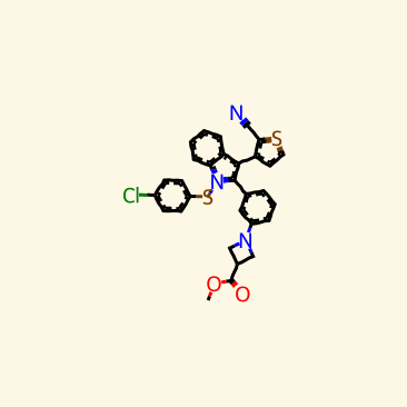 COC(=O)C1CN(c2cccc(-c3c(-c4ccsc4C#N)c4ccccc4n3Sc3ccc(Cl)cc3)c2)C1